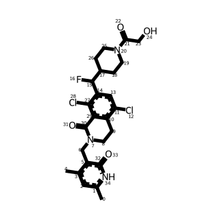 Cc1cc(C)c(CN2CCc3c(Cl)cc(C(F)C4CCN(C(=O)CO)CC4)c(Cl)c3C2=O)c(=O)[nH]1